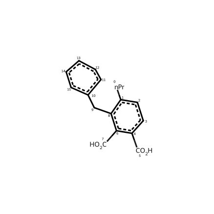 CCCc1ccc(C(=O)O)c(C(=O)O)c1Cc1ccccc1